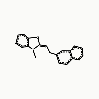 CN1C(=CCc2ccc3ccccc3c2)Sc2ccccc21